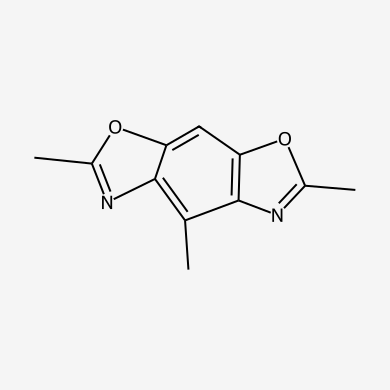 Cc1nc2c(C)c3nc(C)oc3cc2o1